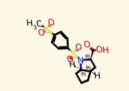 CS(=O)(=O)c1ccc(S(=O)(=O)N2[C@@H](C(=O)O)C[C@H]3CCC[C@H]32)cc1